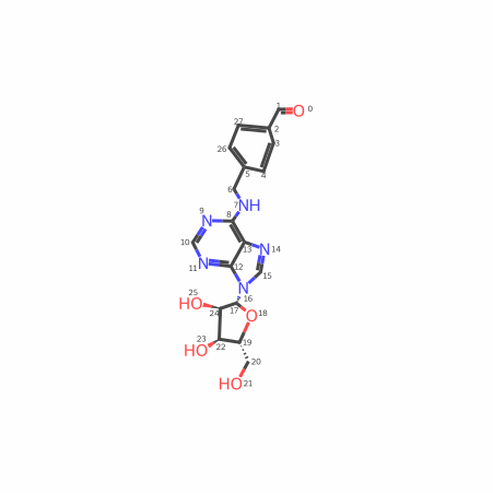 O=Cc1ccc(CNc2ncnc3c2ncn3[C@@H]2O[C@H](CO)[C@@H](O)[C@H]2O)cc1